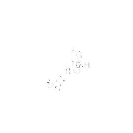 O=C(c1cscn1)N1CCN(C2CN(C(=O)c3cccc4[nH]c(-c5cccc(F)c5)nc34)C2)CC1